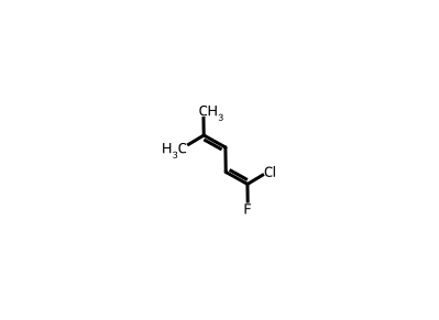 CC(C)=CC=C(F)Cl